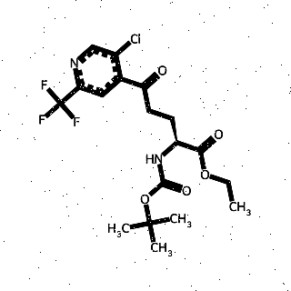 CCOC(=O)[C@H](CCC(=O)c1cc(C(F)(F)F)ncc1Cl)NC(=O)OC(C)(C)C